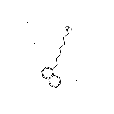 C=CCCCCCCc1cccc2ccccc12